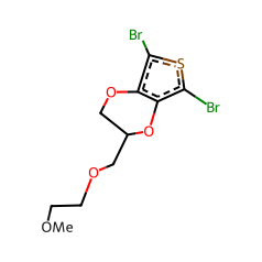 COCCOCC1COc2c(Br)sc(Br)c2O1